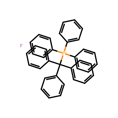 [I-].c1ccc(C(c2ccccc2)(c2ccccc2)[P+](c2ccccc2)(c2ccccc2)c2ccccc2)cc1